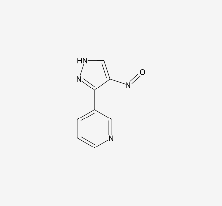 O=Nc1c[nH]nc1-c1cccnc1